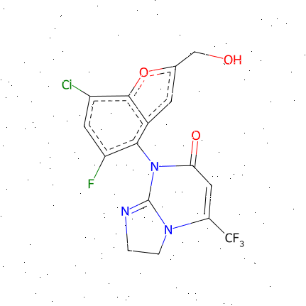 O=C1C=C(C(F)(F)F)N2CCN=C2N1c1c(F)cc(Cl)c2oc(CO)cc12